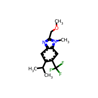 COCc1nc2cc(C(C)C)c(C(F)(F)F)cc2n1C